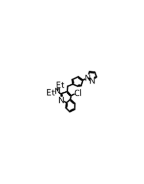 CCN(CC)c1nc2ccccc2c(Cl)c1Cc1ccc(-n2cccn2)cc1